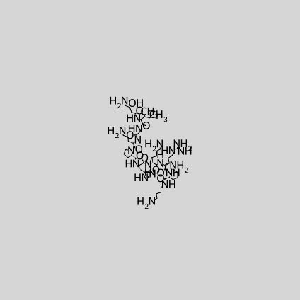 CC[C@H](C)[C@H](NC(=O)C[C@@H](O)CN)C(=O)NCC(=O)/N=C(\CCCN)C(=O)N1CCC[C@H]1C(=O)N[C@@H](Cc1cnc[nH]1)C(=O)N[C@@H](CCCCN)C(=O)N/C(=C\CCNC(=N)N)C(=O)N[C@@H](CCCCN)C(=O)NCCCCN